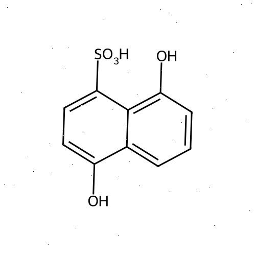 O=S(=O)(O)c1ccc(O)c2cccc(O)c12